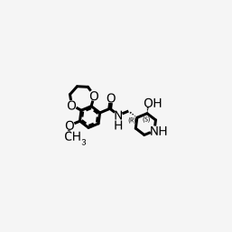 COc1ccc(C(=O)NC[C@H]2CCNC[C@H]2O)c2c1OCCCO2